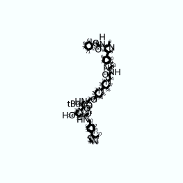 Cc1ncc(-c2ccc3nc(NC(=O)CN4CCC(N5CCC(OCC(=O)N[C@H](C(=O)N6C[C@H](O)C[C@H]6C(=O)NCc6ccc(-c7scnc7C)cc6)C(C)(C)C)CC5)CC4)sc3c2)cc1NC(=O)OC1CCCCC1